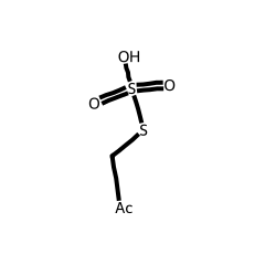 CC(=O)CSS(=O)(=O)O